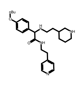 CCCCOc1ccc(C(NCCC2CCCNC2)C(=O)NCCc2ccncc2)cc1